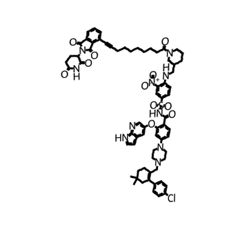 CC1(C)CCC(CN2CCN(c3ccc(C(=O)NS(=O)(=O)c4ccc(NCC5CCCN(C(=O)CCCCCCCC#Cc6cccc7c6C(=O)N(C6CCC(=O)NC6=O)C7=O)C5)c([N+](=O)[O-])c4)c(Oc4cnc5[nH]ccc5c4)c3)CC2)=C(c2ccc(Cl)cc2)C1